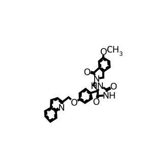 COc1ccc2c(c1)C(=O)N(C[C@@]1(c3ccc(OCc4ccc5ccccc5n4)cc3)NC(=O)NC1=O)C2